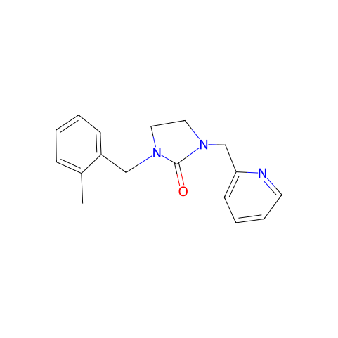 Cc1ccccc1CN1CCN(Cc2ccccn2)C1=O